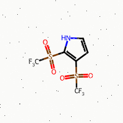 O=S(=O)(c1cc[nH]c1S(=O)(=O)C(F)(F)F)C(F)(F)F